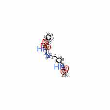 CN(CCCc1ccc(CNC(=O)OC(C)(C)C)cc1)CCNS(=O)(=O)c1cc2ccccc2o1